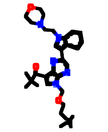 CC(C)(C)C(=O)c1cn(COCC[Si](C)(C)C)c2ncc(-c3cn(CCN4CCOCC4)c4ccccc34)nc12